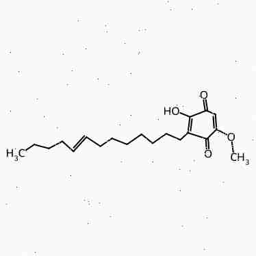 CCCCC=CCCCCCCCC1=C(O)C(=O)C=C(OC)C1=O